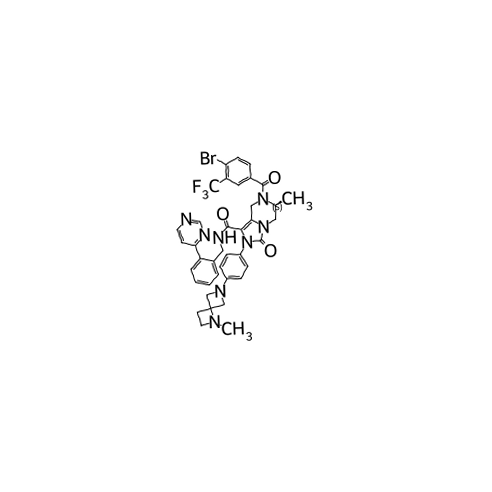 C[C@H]1Cn2c(c(C(=O)NCc3ccccc3-c3ccncn3)n(-c3ccc(N4CC5(CCN5C)C4)cc3)c2=O)CN1C(=O)c1ccc(Br)c(C(F)(F)F)c1